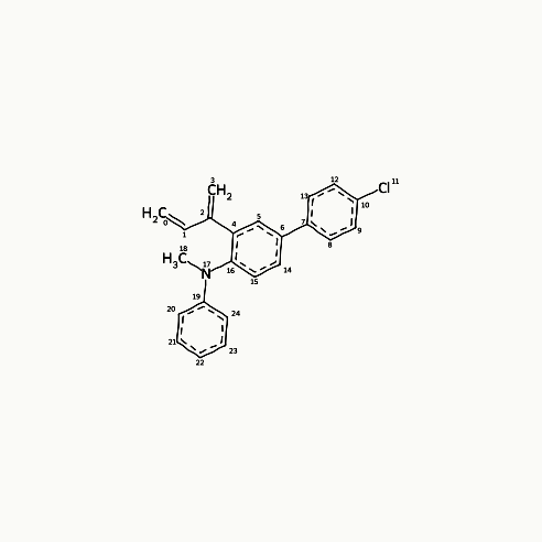 C=CC(=C)c1cc(-c2ccc(Cl)cc2)ccc1N(C)c1ccccc1